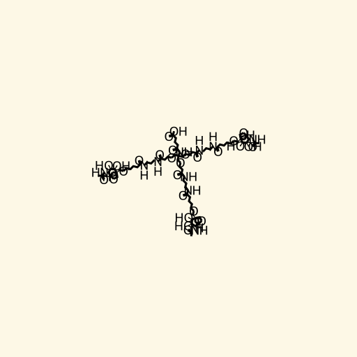 CC(=O)N[C@H]1[C@H]2OC[C@](COCCCCC(=O)NCCCNC(=O)CCOCC(COCCC(=O)NCCCNC(=O)CCCCOC[C@@]34CO[C@@H](O3)[C@H](NC(C)=O)[C@@H](O)[C@H]4O)(COCCC(=O)NCCCNC(=O)CCCCOC[C@@]34CO[C@@H](O3)[C@H](NC(C)=O)[C@@H](O)[C@H]4O)NC(=O)CCCC(=O)O)(O2)[C@H](O)[C@@H]1O